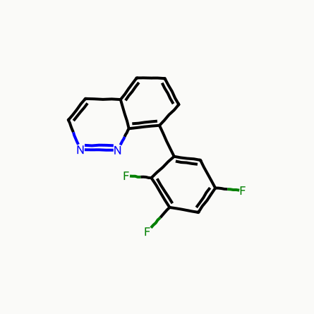 Fc1cc(F)c(F)c(-c2cccc3ccnnc23)c1